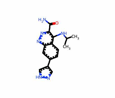 CC(C)Nc1c(C(N)=O)nnc2cc(-c3cn[nH]c3)ccc12